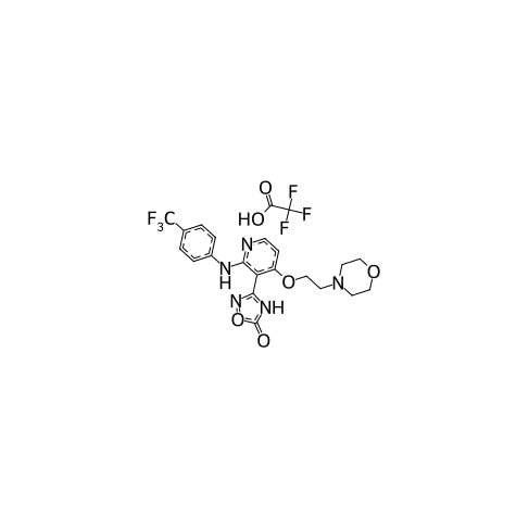 O=C(O)C(F)(F)F.O=c1[nH]c(-c2c(OCCN3CCOCC3)ccnc2Nc2ccc(C(F)(F)F)cc2)no1